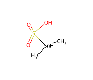 [CH3][SnH]([CH3])[S](=O)(=O)O